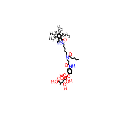 Bc1c(B)c(B)c(C(=O)NCCCCCCN(CCC(=O)Nc2ccc(OC(O)C(O)C(O)C(O)C(C)C(=O)O)cc2)C(=O)CCCC)c(B)c1B